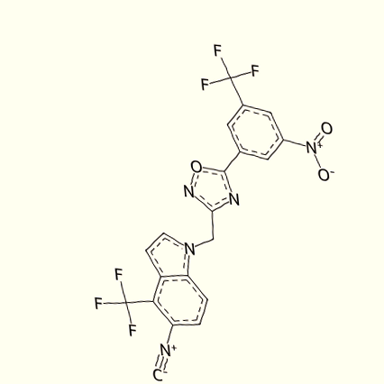 [C-]#[N+]c1ccc2c(ccn2Cc2noc(-c3cc([N+](=O)[O-])cc(C(F)(F)F)c3)n2)c1C(F)(F)F